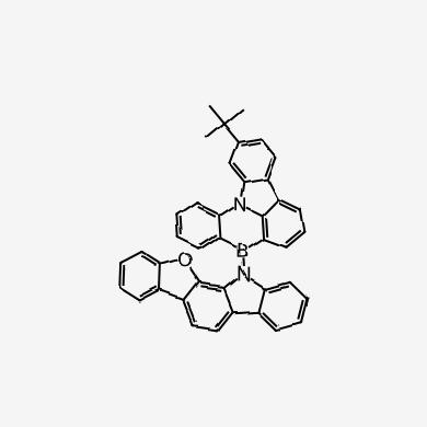 CC(C)(C)c1ccc2c3cccc4c3n(c2c1)-c1ccccc1B4n1c2ccccc2c2ccc3c4ccccc4oc3c21